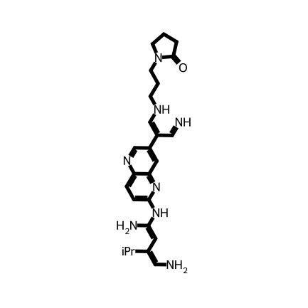 CC(C)C(=C/N)/C=C(\N)Nc1ccc2ncc(/C(C=N)=C/NCCCN3CCCC3=O)cc2n1